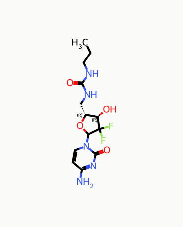 CCCNC(=O)NC[C@H]1OC(n2ccc(N)nc2=O)C(F)(F)[C@@H]1O